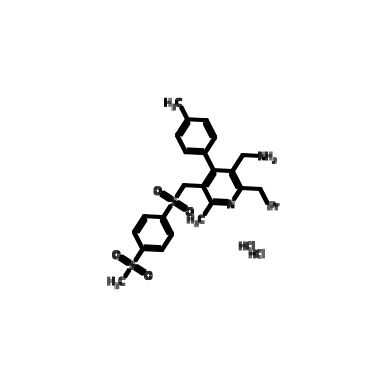 Cc1ccc(-c2c(CS(=O)(=O)c3ccc(S(C)(=O)=O)cc3)c(C)nc(CC(C)C)c2CN)cc1.Cl.Cl